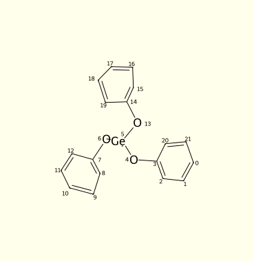 c1ccc([O][Ge]([O]c2ccccc2)[O]c2ccccc2)cc1